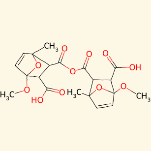 COC12C=CC(C)(O1)C(C(=O)OC(=O)C1C(C(=O)O)C3(OC)C=CC1(C)O3)C2C(=O)O